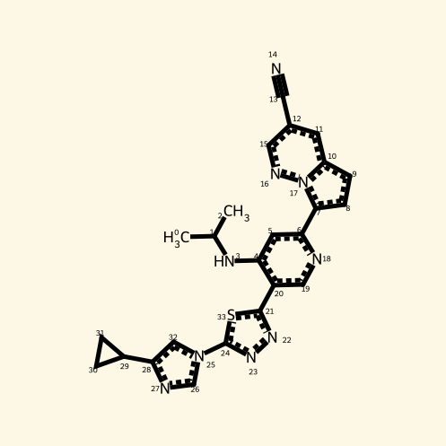 CC(C)Nc1cc(-c2ccc3cc(C#N)cnn23)ncc1-c1nnc(-n2cnc(C3CC3)c2)s1